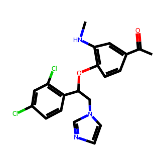 CNc1cc(C(C)=O)ccc1OC(Cn1ccnc1)c1ccc(Cl)cc1Cl